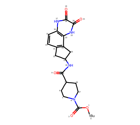 CC(C)(C)OC(=O)N1CCC(C(=O)NC2Cc3ccc4[nH]c(=O)c(=O)[nH]c4c3C2)CC1